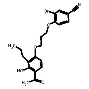 CCCc1c(OCCCOc2ccc(C#N)cc2Br)ccc(C(C)=O)c1O